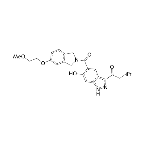 COCCOc1ccc2c(c1)CN(C(=O)c1cc3c(C(=O)CC(C)C)n[nH]c3cc1O)C2